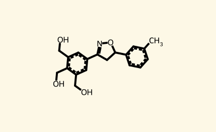 Cc1cccc(C2CC(c3cc(CO)c(CO)c(CO)c3)=NO2)c1